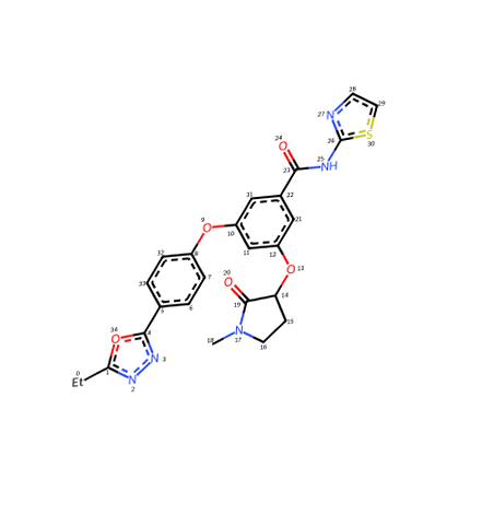 CCc1nnc(-c2ccc(Oc3cc(OC4CCN(C)C4=O)cc(C(=O)Nc4nccs4)c3)cc2)o1